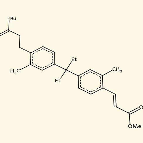 CCC(CC)(c1ccc(C=CC(=O)OC)c(C)c1)c1ccc(CCC(=O)C(C)(C)C)c(C)c1